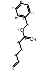 C=CCCCC(=O)OCc1ccccc1